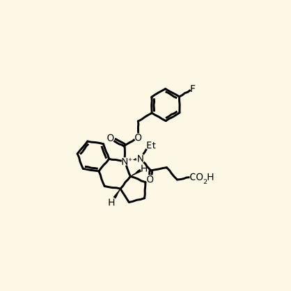 CCN(C(=O)CCC(=O)O)[N@@+]1(C(=O)OCc2ccc(F)cc2)c2ccccc2C[C@H]2CCC[C@H]21